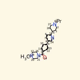 CC(C)N1CCC(c2ccc(-c3ccc(C(=O)N4CCN(C)CC4)cc3)cn2)CC1